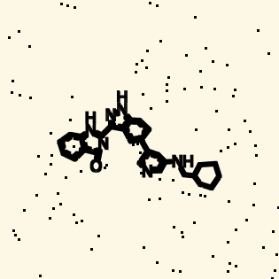 O=c1nc(-c2n[nH]c3ccc(-c4cncc(NCC5CCCCC5)c4)cc23)[nH]c2ccccc12